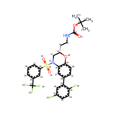 CC(C)(C)OC(=O)NCC[C@H]1CN(S(=O)(=O)c2cccc(C(F)(F)F)c2)c2cc(-c3cc(F)ccc3F)ccc2O1